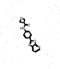 O=C(Nc1ccc(-c2nc3cccnc3o2)cc1)C1COC1